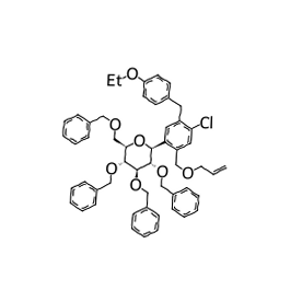 C=CCOCc1cc(Cl)c(Cc2ccc(OCC)cc2)cc1[C@@H]1O[C@H](COCc2ccccc2)[C@@H](OCc2ccccc2)[C@H](OCc2ccccc2)[C@H]1OCc1ccccc1